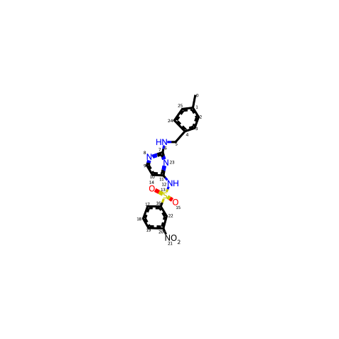 Cc1ccc(CNc2nccc(NS(=O)(=O)c3cccc([N+](=O)[O-])c3)n2)cc1